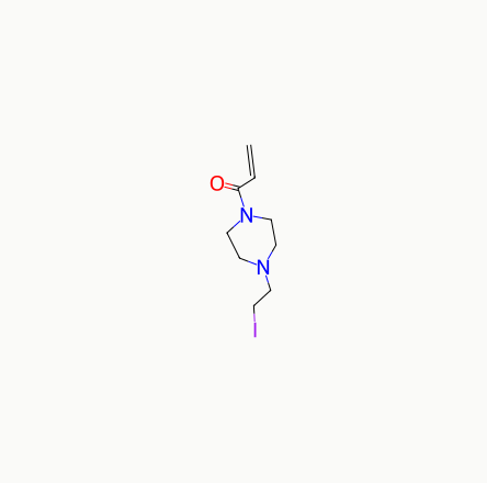 C=CC(=O)N1CCN(CCI)CC1